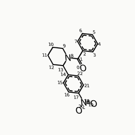 O=C(c1ccccc1)N1CCCCC1c1ccc([N+](=O)[O-])cc1